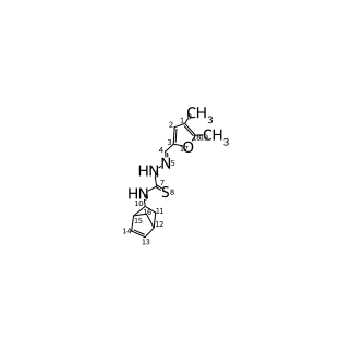 Cc1cc(C=NNC(=S)NC2CC3C=CC2C3)oc1C